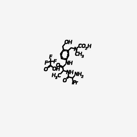 CC(NC(=O)C(N)C(C)C)C(=O)Nc1ccc(CO)c(CN(C)C(=O)O)c1.O=C(O)C(F)(F)F